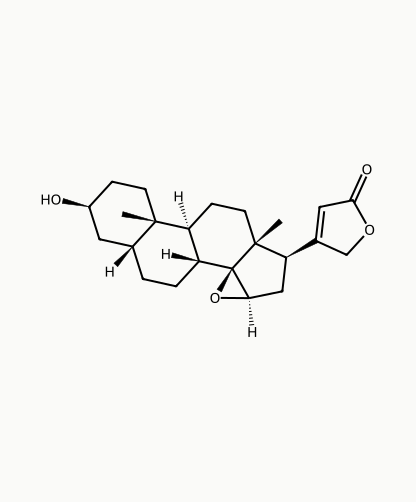 C[C@]12CC[C@H](O)C[C@H]1CC[C@@H]1[C@@H]2CC[C@]2(C)[C@@H](C3=CC(=O)OC3)C[C@H]3O[C@]132